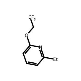 CCc1cccc(OCC(F)(F)F)n1